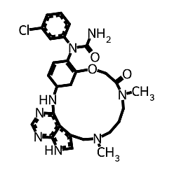 CN1CCCN(C)C(=O)COC2=C(N(C(N)=O)c3cccc(Cl)c3)C=CC(C2)Nc2ncnc3[nH]cc(c23)C1